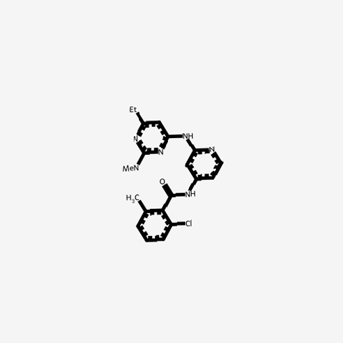 CCc1cc(Nc2cc(NC(=O)c3c(C)cccc3Cl)ccn2)nc(NC)n1